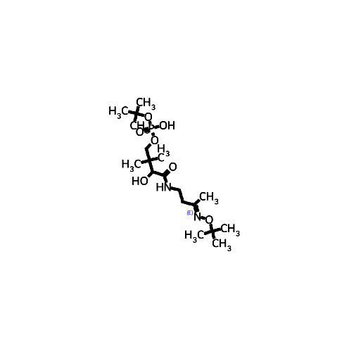 C/C(CCNC(=O)C(O)C(C)(C)COP(=O)(O)OC(C)(C)C)=N\OC(C)(C)C